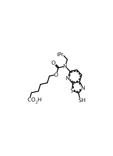 CC(C)CN(C(=O)OCCCCCC(=O)O)c1ccc2nc(S)sc2n1